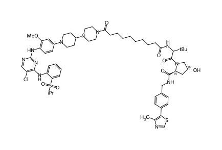 COc1cc(N2CCC(N3CCN(C(=O)CCCCCCCCC(=O)NC(C(=O)N4C[C@H](O)C[C@H]4C(=O)NCc4ccc(-c5scnc5C)cc4)C(C)(C)C)CC3)CC2)ccc1Nc1ncc(Cl)c(Nc2ccccc2S(=O)(=O)C(C)C)n1